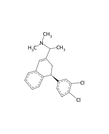 CC(C1=Cc2ccccc2[C@H](c2ccc(Cl)c(Cl)c2)C1)N(C)C